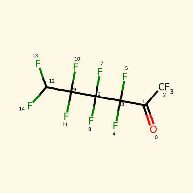 O=C(C(F)(F)F)C(F)(F)C(F)(F)C(F)(F)C(F)F